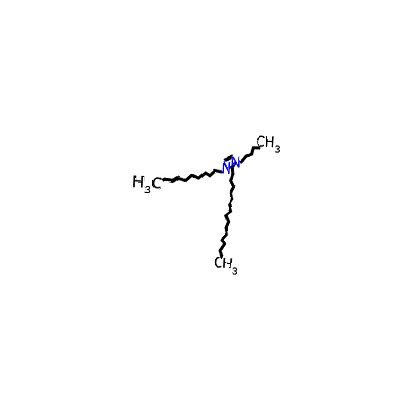 CCCCCCCCCCCCCCCCC1N(CCCCCC)C=CN1CCCCCCCCCCC